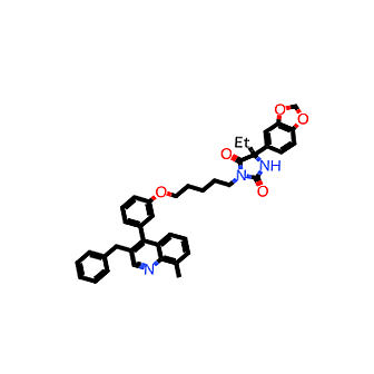 CCC1(c2ccc3c(c2)OCO3)NC(=O)N(CCCCCOc2cccc(-c3c(Cc4ccccc4)cnc4c(C)cccc34)c2)C1=O